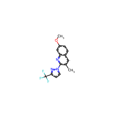 COc1ccc2[c]c(C)c(-n3ccc(C(F)(F)F)n3)nc2c1